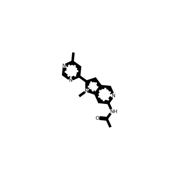 CC(=O)Nc1cc2c(cn1)cc(-c1cc(C)ncn1)n2C